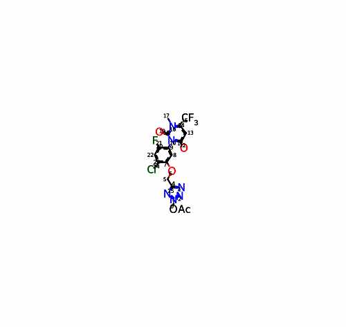 CC(=O)On1nnc(COc2cc(-n3c(=O)cc(C(F)(F)F)n(C)c3=O)c(F)cc2Cl)n1